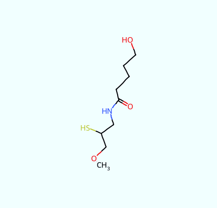 COCC(S)CNC(=O)CCCCO